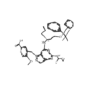 CCC[C@@H](CCO[Si](c1ccccc1)(c1ccccc1)C(C)(C)C)Nc1nc(NC(=O)OC)nc2cnn(Cc3cc(C(=O)O)ncc3OC)c12